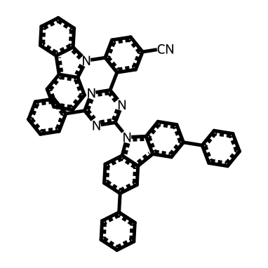 N#Cc1ccc(-n2c3ccccc3c3ccccc32)c(-c2nc(-c3ccccc3)nc(-n3c4ccc(-c5ccccc5)cc4c4cc(-c5ccccc5)ccc43)n2)c1